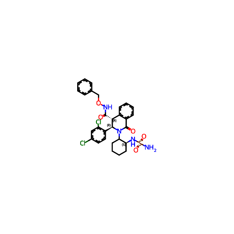 NS(=O)(=O)N[C@H]1CCCCC1N1C(=O)c2ccccc2[C@@H](C(=O)NOCc2ccccc2)[C@@H]1c1ccc(Cl)cc1Cl